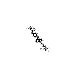 CC(C)(C)OC(=O)NC1CCC(Oc2ccnc3c2ccn3COCC[Si](C)(C)C)CC1